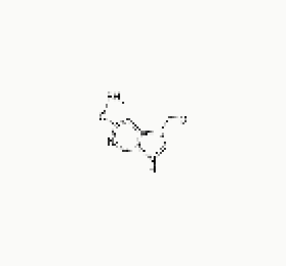 BOc1cc2c(C=O)c[nH]c2cn1